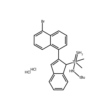 CC(C)(C)[NH][Zr]([CH3])([CH3])(=[SiH2])[CH]1C(c2cccc3c(Br)cccc23)=Cc2ccccc21.Cl.Cl